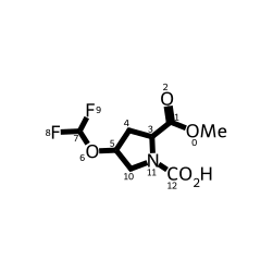 COC(=O)C1CC(OC(F)F)CN1C(=O)O